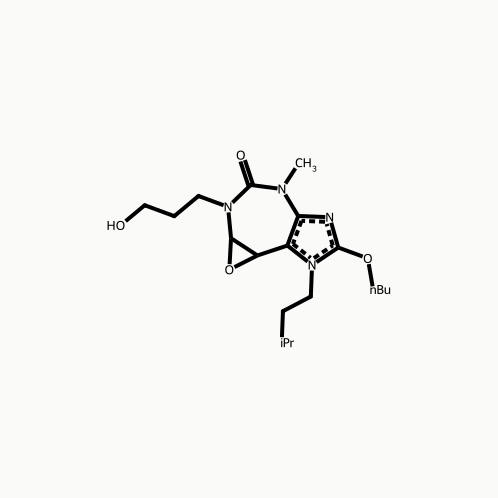 CCCCOc1nc2c(n1CCC(C)C)C1OC1N(CCCO)C(=O)N2C